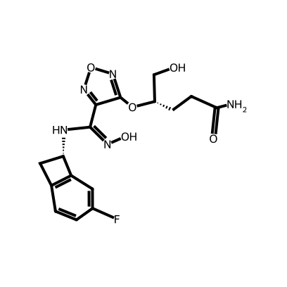 NC(=O)CC[C@@H](CO)Oc1nonc1C(=NO)N[C@H]1Cc2ccc(F)cc21